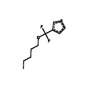 CCCCCOC(F)(F)c1ccsc1